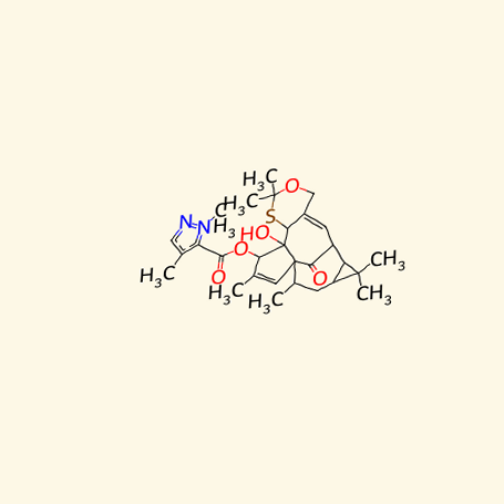 CC1=CC23C(=O)C(C=C4COC(C)(C)SC4C2(O)C1OC(=O)c1c(C)cnn1C)C1C(CC3C)C1(C)C